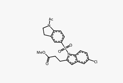 COC(=O)CCc1cc2cc(Cl)ccc2n1S(=O)(=O)c1ccc2c(c1)CCN2C(C)=O